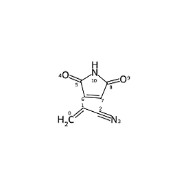 C=CC#N.O=C1C=CC(=O)N1